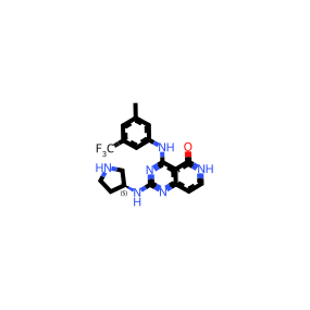 Cc1cc(Nc2nc(N[C@H]3CCNC3)nc3cc[nH]c(=O)c23)cc(C(F)(F)F)c1